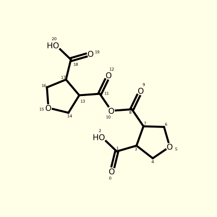 O=C(O)C1COCC1C(=O)OC(=O)C1COCC1C(=O)O